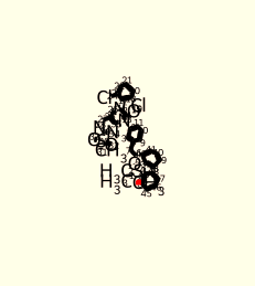 CC(C)(C)[Si](OCCc1cccc(N2C(=O)N(c3c(Cl)cccc3Cl)Cc3cnc(S(C)(=O)=O)nc32)c1)(c1ccccc1)c1ccccc1